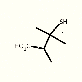 CC(C(=O)O)C(C)(C)S